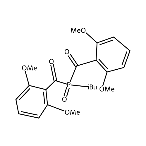 CCC(C)P(=O)(C(=O)c1c(OC)cccc1OC)C(=O)c1c(OC)cccc1OC